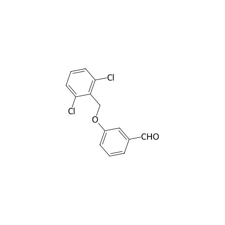 O=Cc1cccc(OCc2c(Cl)cccc2Cl)c1